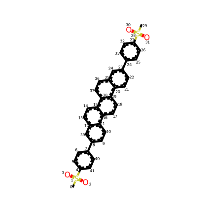 CS(=O)(=O)c1ccc(-c2ccc3c(ccc4c3ccc3c5ccc(-c6ccc(S(C)(=O)=O)cc6)cc5ccc34)c2)cc1